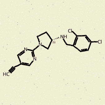 C#Cc1cnc(N2CC[C@H](NCc3ccc(Cl)cc3Cl)C2)nc1